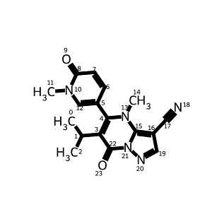 CC(C)c1c(-c2ccc(=O)n(C)c2)n(C)c2c(C#N)cnn2c1=O